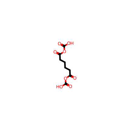 O=C(O)OC(=O)CCCCC(=O)OC(=O)O